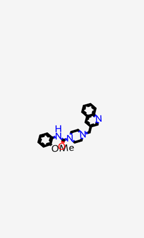 COc1ccccc1NC(=O)N1CCN(Cc2cnc3ccccc3c2)CC1